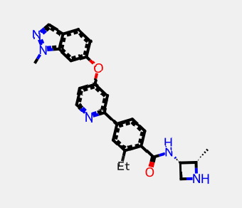 CCc1cc(-c2cc(Oc3ccc4cnn(C)c4c3)ccn2)ccc1C(=O)N[C@H]1CN[C@H]1C